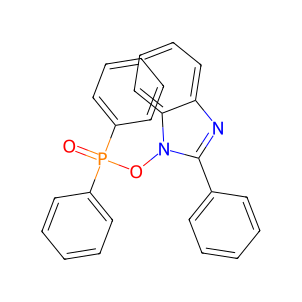 O=P(On1c(-c2ccccc2)nc2ccccc21)(c1ccccc1)c1ccccc1